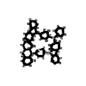 C=C(/C=C\C(=C/C)n1c2ccccc2c2ccc(N(c3ccccc3)c3ccc(-n4c5ccccc5c5ccccc54)cc3)cc21)N1c2ccccc2SC2CCC=CC21